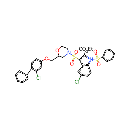 CCOC(=O)c1c(S(=O)(=O)N2CCOC(COc3ccc(-c4ccccc4)c(Cl)c3)C2)c2cc(Cl)ccc2n1S(=O)(=O)c1ccccc1